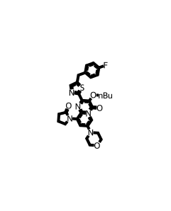 CCCCOc1c(-c2ncc(Cc3ccc(F)cc3)s2)nc2c(N3CCCC3=O)cc(N3CCOCC3)cn2c1=O